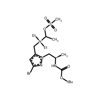 CC[N+](CC)(Cc1cc(Br)nn1C[C@@H](C)NC(=O)OC(C)(C)C)C(C)OS(C)(=O)=O